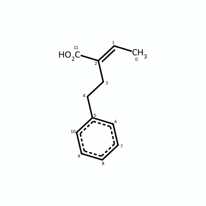 C/C=C(\CCc1ccccc1)C(=O)O